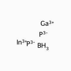 B.[Ga+3].[In+3].[P-3].[P-3]